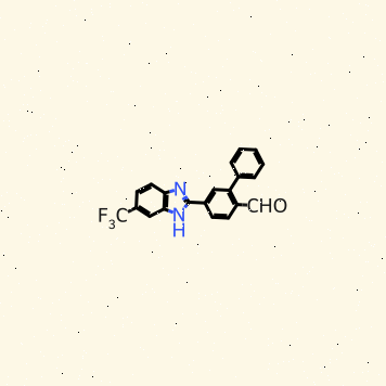 O=Cc1ccc(-c2nc3ccc(C(F)(F)F)cc3[nH]2)cc1-c1ccccc1